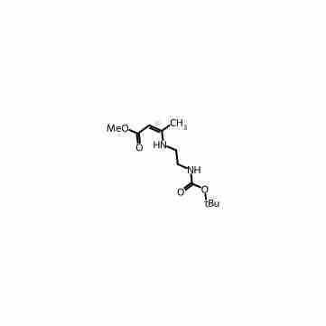 COC(=O)/C=C(/C)NCCNC(=O)OC(C)(C)C